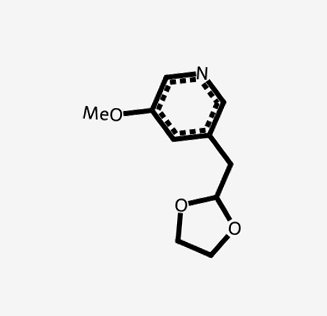 COc1cncc(CC2OCCO2)c1